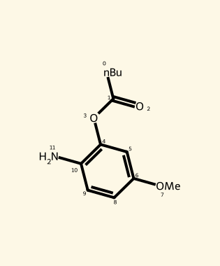 CCCCC(=O)Oc1cc(OC)ccc1N